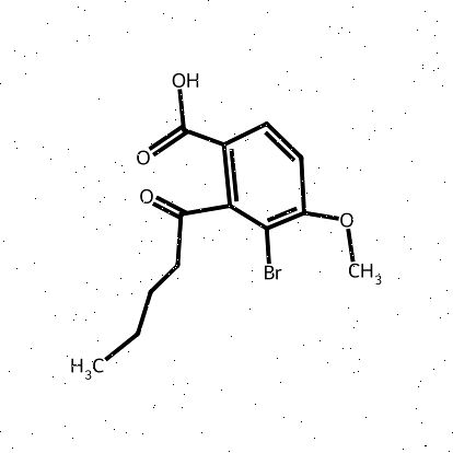 CCCCC(=O)c1c(C(=O)O)ccc(OC)c1Br